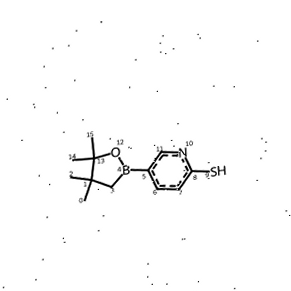 CC1(C)CB(c2ccc(S)nc2)OC1(C)C